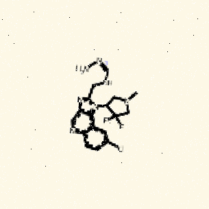 CN1CC(n2c(CN/C=N\N)nc3cnc4ccc(Cl)cc4c32)C(F)(F)C1